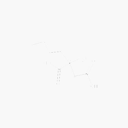 CSCCC(O)(CC(=O)O)C(=O)O